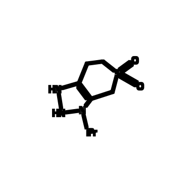 CC(C)N1NNC2=C1CS(=O)(=O)CC2